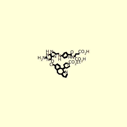 CCOC(=O)N1CCC(=C2c3ccc(Cl)cc3CCc3cccnc32)CC1.Nc1nc(=O)c2nc(CNc3ccc(C(=O)N[C@@H](CCC(=O)O)C(=O)O)cc3)cnc2[nH]1